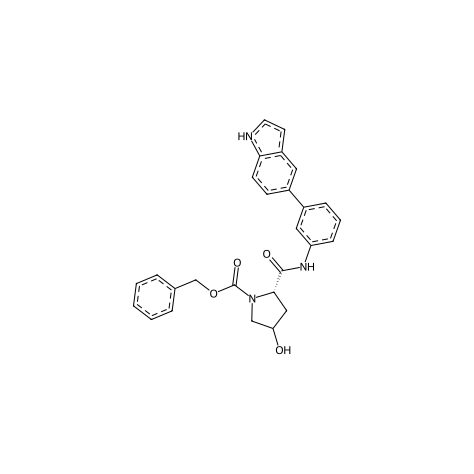 O=C(Nc1cccc(-c2ccc3[nH]ccc3c2)c1)[C@@H]1CC(O)CN1C(=O)OCc1ccccc1